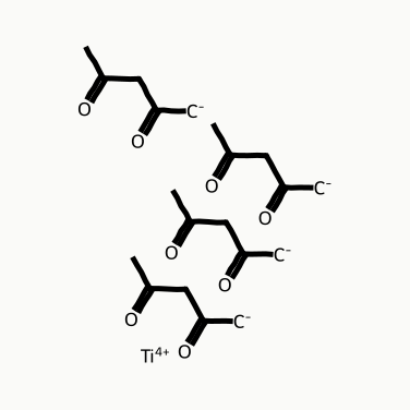 [CH2-]C(=O)CC(C)=O.[CH2-]C(=O)CC(C)=O.[CH2-]C(=O)CC(C)=O.[CH2-]C(=O)CC(C)=O.[Ti+4]